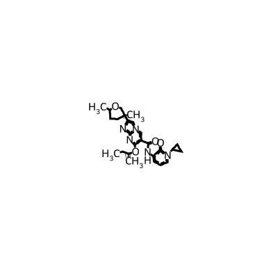 CC[C@H](C)Oc1nc2nc([C@@]3(C)CCC(C)OC3)cn2cc1C(=O)Nc1cccn(C2CC2)c1=O